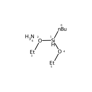 CCCC[SiH](OCC)OCC.N